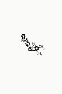 Cc1cc(C)c(Cc2csc(N3CCN(S(=O)(=O)c4ccccc4Br)CC3)n2)c(C)c1